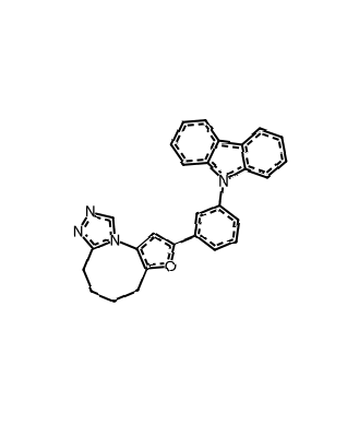 c1cc(-c2cc3c(o2)CCCCc2nncn2-3)cc(-n2c3ccccc3c3ccccc32)c1